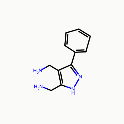 NCc1[nH]nc(-c2ccccc2)c1CN